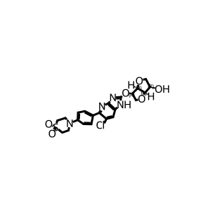 O=S1(=O)CCN(c2ccc(-c3nc4nc(O[C@@H]5CO[C@H]6[C@@H]5OC[C@H]6O)[nH]c4cc3Cl)cc2)CC1